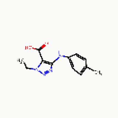 CCn1nnc(Nc2ccc(C)cc2)c1C(=O)O